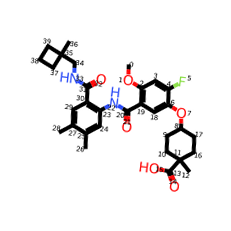 COc1cc(F)c(OC2CCC(C)(C(=O)O)CC2)cc1C(=O)Nc1cc(C)c(C)cc1C(=O)NCC1(C)CCC1